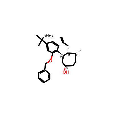 C=CC[C@@H]1[C@H](C)CC[C@@H](O)C[C@H]1c1ccc(C(C)(C)CCCCCC)cc1OCc1ccccc1